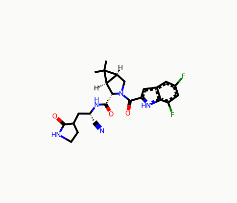 CC1(C)[C@@H]2[C@@H](C(=O)N[C@H](C#N)CC3CCNC3=O)N(C(=O)c3cc4cc(F)cc(F)c4[nH]3)C[C@@H]21